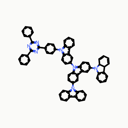 C1=CC2c3ccccc3N(c3ccc4c(c3)c3cc(-n5c6ccccc6c6ccccc65)ccc3n4-c3ccc4c(c3)c3ccccc3n4-c3ccc(-c4nc(-c5ccccc5)nc(-c5ccccc5)n4)cc3)C2C=C1